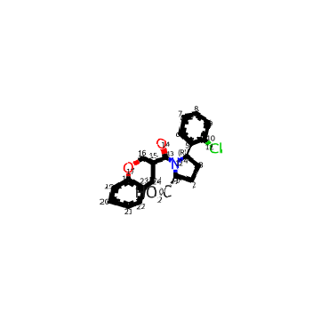 O=C(O)[C@@H]1CC[C@H](c2ccccc2Cl)N1C(=O)C1COc2ccccc2C1